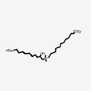 CCCCCCCCCCCCCCCCCCC(O)C[N+](C)(C)CCCCCCCCCCCC(=O)[O-]